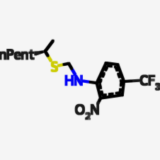 CCCCC[C@@H](C)SCNc1ccc(C(F)(F)F)cc1[N+](=O)[O-]